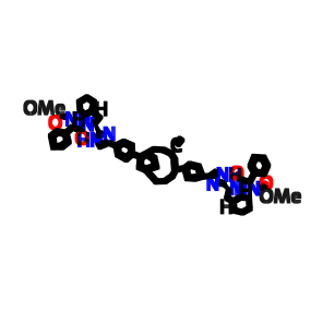 C=C=C1/C=C(/c2ccc(-c3c[nH]c([C@@H]4C[C@@H]5CCCC[C@@H]5N4C(=O)[C@@H](NC(=O)OC)c4ccccc4)n3)cc2)CCCc2ccc(c(-c3ccc(-c4c[nH]c([C@@H]5C[C@@H]6CCCC[C@@H]6N5C(=O)[C@@H](NC(=O)OC)c5ccccc5)n4)cc3)c2)CC1